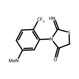 CNc1ccc(C(F)(F)F)c(N2C(=N)SCC2=O)c1